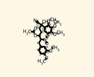 COc1ccc(CC(C(CCC(C)(C#N)c2ccc(OC)c(OC)c2OC)OC(C)=O)[N+](=O)[O-])cc1OC